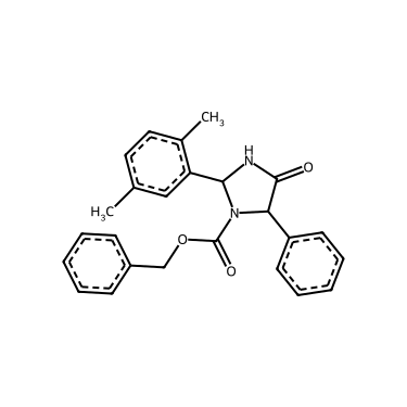 Cc1ccc(C)c(C2NC(=O)C(c3ccccc3)N2C(=O)OCc2ccccc2)c1